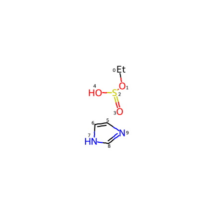 CCOS(=O)O.c1c[nH]cn1